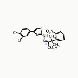 CC(C)(/C(=N\Nc1nc(-c2ccc(Cl)c(Cl)c2)cs1)C(=O)O)c1ccccc1[N+](=O)[O-]